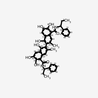 CCC(NC(=O)c1c(O)c(O)cc2c(O)c(-c3c(C)cc4c(C(=O)NC(CC)c5ccccc5)c(O)c(O)cc4c3O)c(C)cc12)c1ccccc1